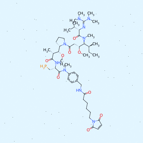 CC[C@H](C)[C@@H]([C@@H](CC(=O)N1CCC[C@H]1[C@H](OC)[C@@H](C)C(=O)N[C@@H](CP)C(=O)N(C)c1ccc(CNC(=O)CCCCCN2C(=O)C=CC2=O)cc1)OC)N(C)C(=O)[C@@H](N=C(N(C)C)N(C)C)C(C)C